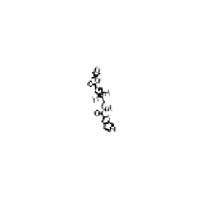 CC1(OC(=O)N2C[C@@H]3C(CCNC(=O)c4cc5ccncc5s4)[C@@H]3C2)COC1